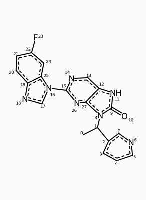 CC(c1cccnc1)n1c(=O)[nH]c2cnc(-n3cnc4ccc(F)cc43)nc21